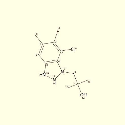 Cc1cc2c(c(Cl)c1F)N(CC(C)(C)O)NN2